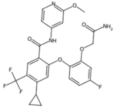 COc1cc(NC(=O)c2cc(C(F)(F)F)c(C3CC3)cc2Oc2ccc(F)cc2OCC(N)=O)ccn1